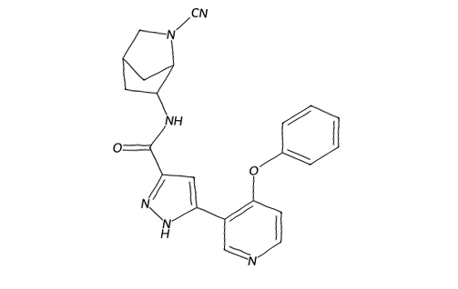 N#CN1CC2CC(NC(=O)c3cc(-c4cnccc4Oc4ccccc4)[nH]n3)C1C2